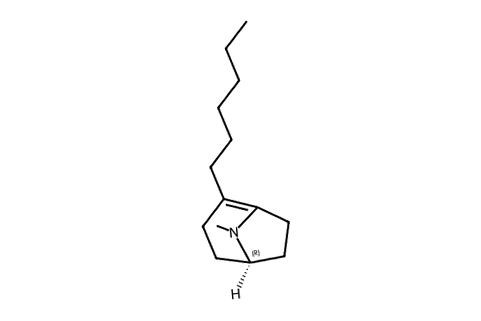 CCCCCCC1=C2CC[C@@H](CC1)N2C